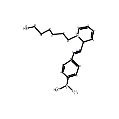 CN(C)c1ccc(/C=C/C2C=CC=CN2CCCCCCS)cc1